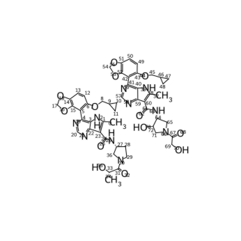 Cc1[nH]c2c(-c3c(OCC4CC4)ccc4c3OCO4)ncnc2c1C(=O)N[C@@H]1CCN(C(=O)[C@H](C)O)C1.Cc1[nH]c2c(-c3c(OCC4CC4)ccc4c3OCO4)ncnc2c1C(=O)N[C@@H]1CN(C(=O)CO)C[C@H]1O